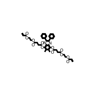 C=CC(=O)OCCOC(=O)CCC(=O)Oc1c(C)c(C)c(OC(=O)CCC(=O)OCCOC(=O)C=C)c2nc(-c3ccccc3)c(-c3ccccc3)nc12